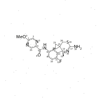 COc1cnc(C(=O)Nc2ccc(F)c([C@@]3(C)N=C(N)SCC34CC4)c2)cn1